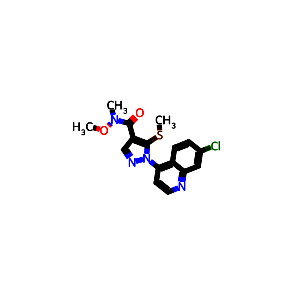 CON(C)C(=O)c1cnn(-c2ccnc3cc(Cl)ccc23)c1SC